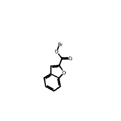 O=C(OBr)c1cc2ccccc2o1